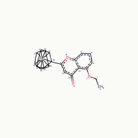 CCOc1cccc2oc([C]34[CH]5[CH]6[CH]7[CH]3[Fe]6754389%10[CH]4[CH]3[CH]8[CH]9[CH]4%10)cc(=O)c12